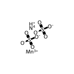 O=S(=O)([O-])[O-].O=S(=O)([O-])[O-].[Mn+3].[NH4+]